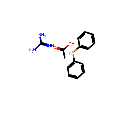 CC(=O)O.N=C(N)N.c1ccc(Pc2ccccc2)cc1